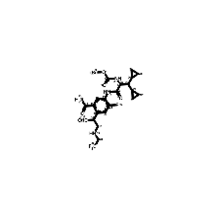 CC(C)(C)OC(=O)N[C@H](C(=O)Nc1cc(C(N)=O)c(C(C=O)CNCC(F)(F)F)cc1F)C(C1CC1)C1CC1